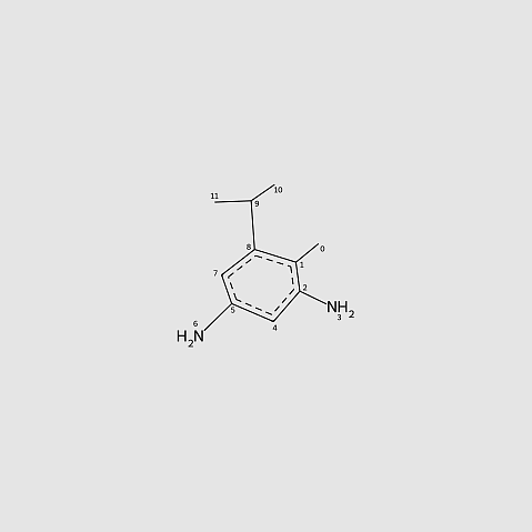 Cc1c(N)cc(N)cc1C(C)C